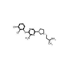 C[C@H](N)CC[C@H]1CCN(c2cnc(Sc3cccc(Cl)c3Cl)c(N)n2)C1